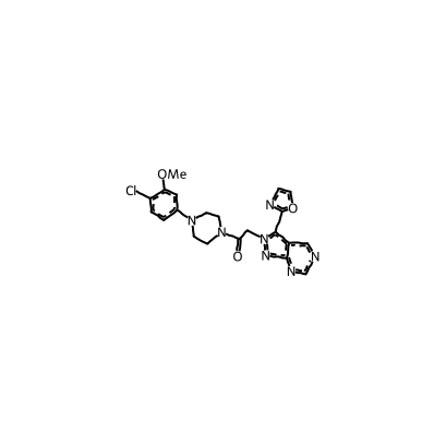 COc1cc(N2CCN(C(=O)Cn3nc4ncncc4c3-c3ncco3)CC2)ccc1Cl